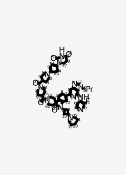 CC(C)n1cnc2cc(-c3ccc4c(c3)N(C3CC(N5CCCCC5)C3)C(=O)C43CCN(C(=O)C4CCN(C(=O)C5CCN(c6ccc(N7CCC(=O)NC7=O)cc6)CC5)CC4)CC3)nc(Nc3ccncc3F)c21